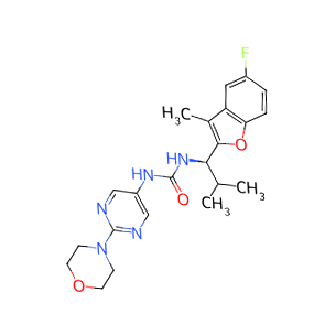 Cc1c([C@H](NC(=O)Nc2cnc(N3CCOCC3)nc2)C(C)C)oc2ccc(F)cc12